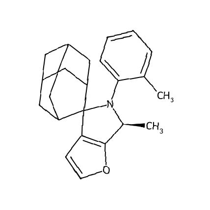 Cc1ccccc1N1[C@@H](C)c2occc2C12C1CC3CC(C1)CC2C3